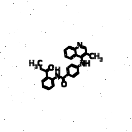 CCC(=O)c1ccccc1NC(=O)c1ccc(Nc2c(C)cnc3ccccc23)cc1